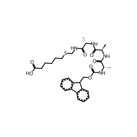 C[C@H](NC(=O)OCC1c2ccccc2-c2ccccc21)C(=O)N[C@H](C)C(=O)N[C@@H](C)C(=O)NCSCCCCCC(=O)O